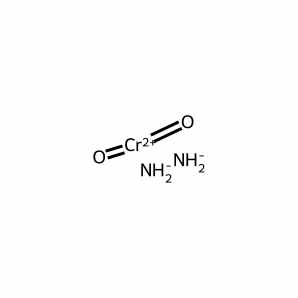 [NH2-].[NH2-].[O]=[Cr+2]=[O]